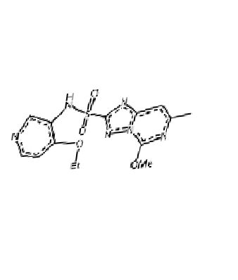 CCOc1ccncc1NS(=O)(=O)c1nc2cc(C)nc(OC)n2n1